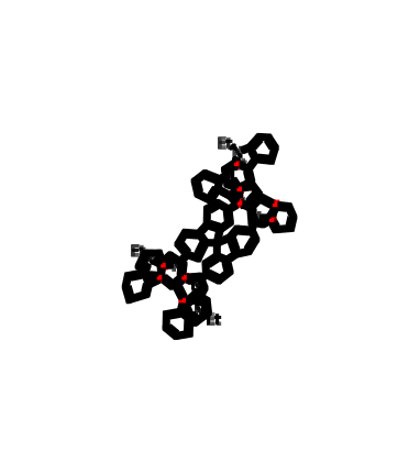 CCn1c2ccccc2c2cc(N(c3ccccc3)c3ccc4c(c3)C3(c5cc(N(c6ccccc6)c6ccc7c(c6)c6ccccc6n7CC)ccc5-4)c4cc(N(c5ccccc5)c5ccc6c(c5)c5ccccc5n6CC)ccc4-c4ccc(N(c5ccccc5)c5ccc6c(c5)c5ccccc5n6CC)cc43)ccc21